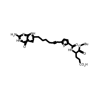 CCC(C)OC(=O)C(CCC(=O)O)NC(=O)c1ccc(C#CCCCCc2cc3c(=O)[nH]c(N)nc3[nH]2)s1